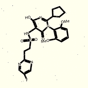 COc1cccc(OC)c1-n1c(C2CCCC2)nc(O)c(NS(=O)(=O)CCc2ncc(F)cn2)c1=O